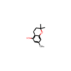 COc1cc(O)c2c(c1)OC(C)(C)CC2